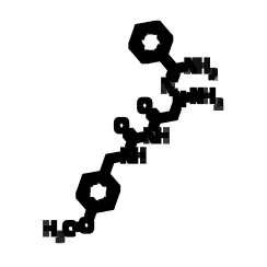 COc1ccc(CNC(=O)NC(=O)CN(N)/N=C(\N)c2ccccc2)cc1